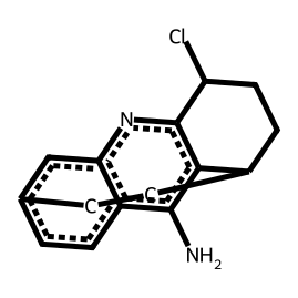 Nc1c2c3nc4cc(ccc14)CCC2CCC3Cl